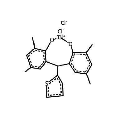 Cc1cc(C)c2c(c1)C(c1cccs1)c1cc(C)cc(C)c1[O][Ti+2][O]2.[Cl-].[Cl-]